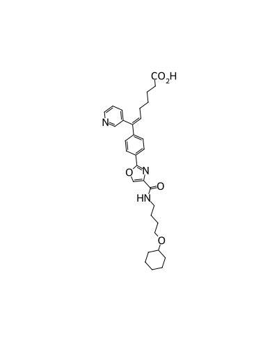 O=C(O)CCCCC=C(c1ccc(-c2nc(C(=O)NCCCCOC3CCCCC3)co2)cc1)c1cccnc1